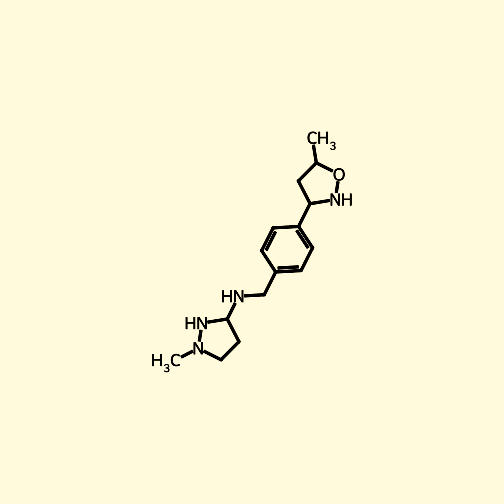 CC1CC(c2ccc(CNC3CCN(C)N3)cc2)NO1